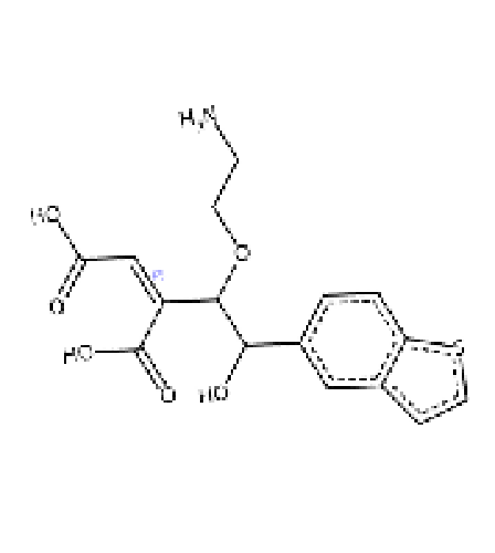 NCCOC(/C(=C/C(=O)O)C(=O)O)C(O)c1ccc2sccc2c1